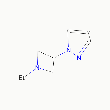 CCN1CC(n2c[c]cn2)C1